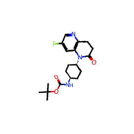 CC(C)(C)OC(=O)N[C@H]1CC[C@H](N2C(=O)CCc3ncc(F)cc32)CC1